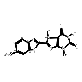 CCn1c(=O)c2c(nc(-c3nc4ccc(OC)cc4s3)n2C)n(CC)c1=O